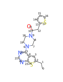 CCc1cc2c(N3CCN(C(=O)Cc4cccs4)CC3)ncnc2s1